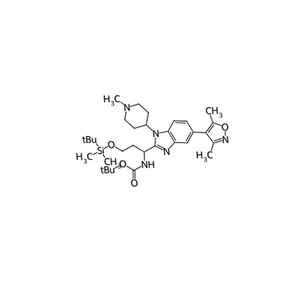 Cc1noc(C)c1-c1ccc2c(c1)nc(C(CCO[Si](C)(C)C(C)(C)C)NC(=O)OC(C)(C)C)n2C1CCN(C)CC1